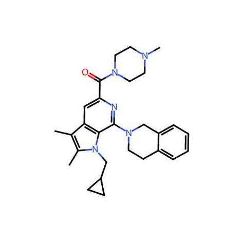 Cc1c(C)n(CC2CC2)c2c(N3CCc4ccccc4C3)nc(C(=O)N3CCN(C)CC3)cc12